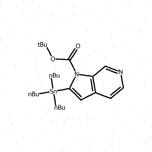 CCC[CH2][Sn]([CH2]CCC)([CH2]CCC)[c]1cc2ccncc2n1C(=O)OC(C)(C)C